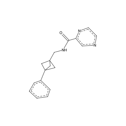 O=C(NCC12CC(c3ccccc3)(C1)C2)c1cnccn1